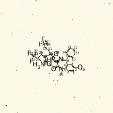 COc1ccc2c(c1)C(c1ccccc1)=N[C@H](NC(=O)[C@H](CCC(F)(F)F)[C@H](CCC(F)(F)F)C(N)=O)C(=O)N2C